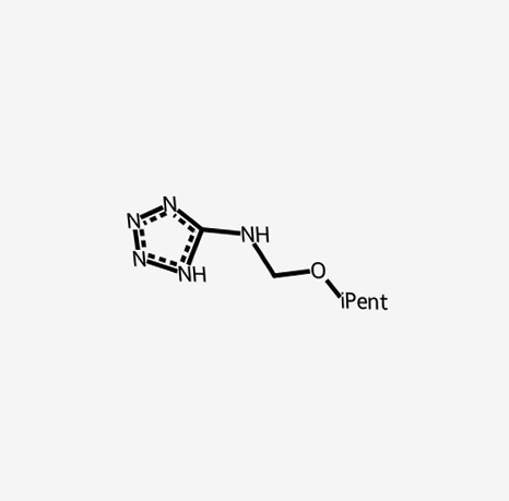 CCCC(C)OCNc1nnn[nH]1